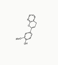 COc1cc(C2=CCc3cccnc3O2)ccc1O